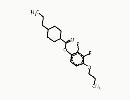 CCCOc1ccc(OC(=O)C2CCC(CCC)CC2)c(F)c1F